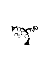 CC(CN=O)(COCC1CC1)COCC1CC1